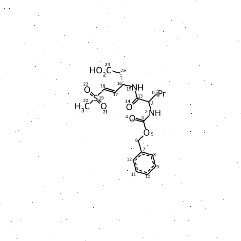 CC(C)C(NC(=O)OCc1ccccc1)C(=O)N[C@H](/C=C/S(C)(=O)=O)CC(=O)O